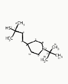 CC(C)(S)CCC1CCN(C(C)(C)C)CC1